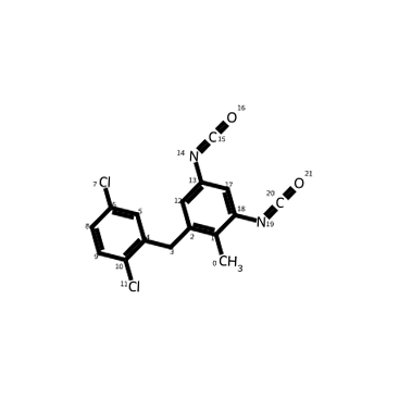 Cc1c(Cc2cc(Cl)ccc2Cl)cc(N=C=O)cc1N=C=O